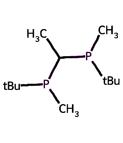 CC(P(C)C(C)(C)C)P(C)C(C)(C)C